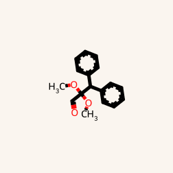 COC(C=O)(OC)C(c1ccccc1)c1ccccc1